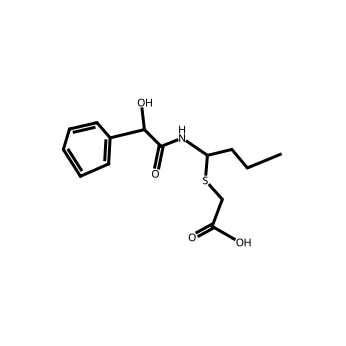 CCCC(NC(=O)C(O)c1ccccc1)SCC(=O)O